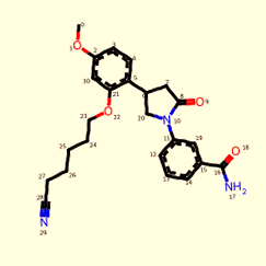 COc1ccc(C2CC(=O)N(c3cccc(C(N)=O)c3)C2)c(OCCCCCC#N)c1